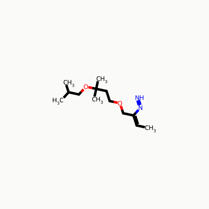 C/C=C(/COCCC(C)(C)OCC(C)C)N=N